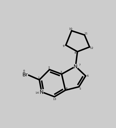 Brc1cc2c(ccn2C2CCCC2)cn1